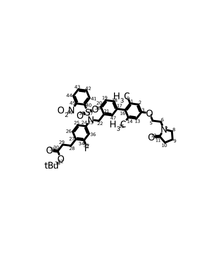 Cc1cc(OCCN2CCCC2=O)cc(C)c1-c1cccc(CN(c2ccc(CCC(=O)OC(C)(C)C)c(F)c2)S(=O)(=O)c2ccccc2[N+](=O)[O-])c1